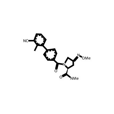 CNC(=O)[C@@H]1C/C(=N\OC)CN1C(=O)c1ccc(-c2cccc(C#N)c2C)cc1